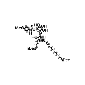 CCCCCCCCCCCCCCCCCCCCCCCCCCN[C@@H](CO[C@@H]1O[C@H](COC(=S)Nc2ccc(OC)cc2)[C@H](O)[C@H](O)[C@H]1O)[C@H](O)[C@H](O)CCCCCCCCCCCCCC